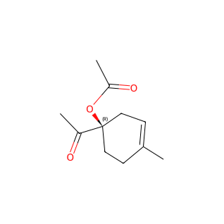 CC(=O)O[C@@]1(C(C)=O)CC=C(C)CC1